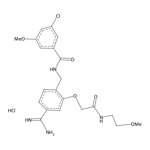 COCCNC(=O)COc1cc(C(=N)N)ccc1CNC(=O)c1cc(Cl)cc(OC)c1.Cl